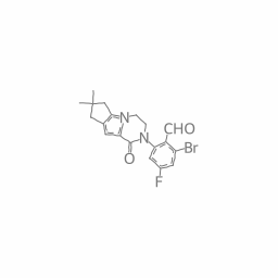 CC1(C)Cc2cc3n(c2C1)CCN(c1cc(F)cc(Br)c1C=O)C3=O